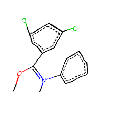 CO/C(c1cc(Cl)cc(Cl)c1)=[N+](\C)c1ccccc1